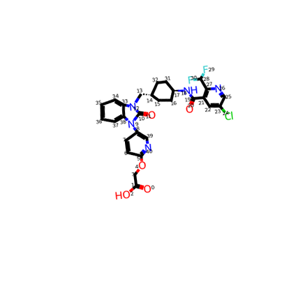 O=C(O)COc1ccc(-n2c(=O)n(C[C@H]3CC[C@H](NC(=O)c4cc(Cl)cnc4C(F)F)CC3)c3ccccc32)cn1